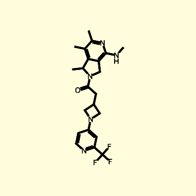 CNc1nc(C)c(C)c2c1CN(C(=O)CC1CN(c3ccnc(C(F)(F)F)c3)C1)C2C